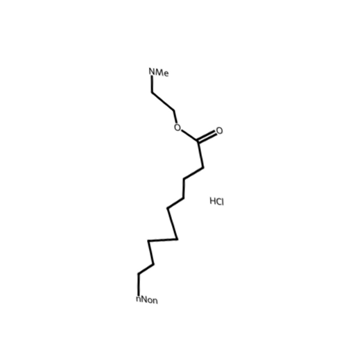 CCCCCCCCCCCCCCCCCC(=O)OCCNC.Cl